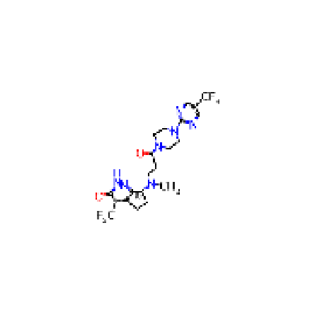 CN(CCC(=O)N1CCN(c2ncc(C(F)(F)F)cn2)CC1)[C@H]1CCc2c1n[nH]c(=O)c2C(F)(F)F